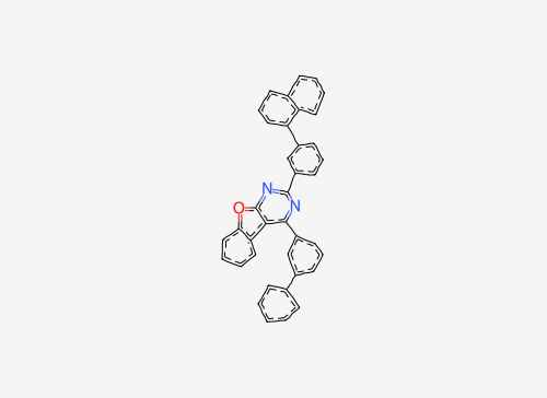 c1ccc(-c2cccc(-c3nc(-c4cccc(-c5cccc6ccccc56)c4)nc4oc5ccccc5c34)c2)cc1